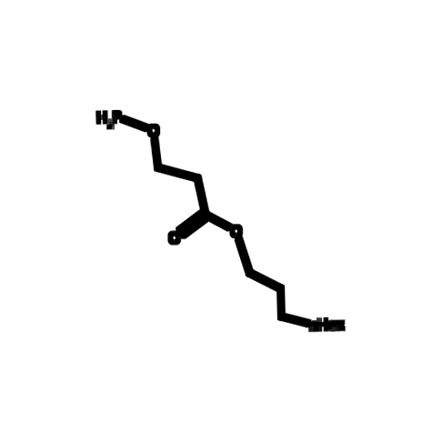 CCCCCCCCCOC(=O)CCOP